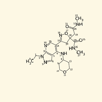 CCn1ncc2c(NC3CCOCC3)c(C3=NOC(CC(=O)NC)(C(=O)NC)C3)cnc21